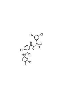 O=C(Nc1ccc(F)c(Cl)c1)c1cc(NC(=O)[C@@H]2[C@@H](c3cc(Cl)cc(Cl)c3)C2(Cl)Cl)ccc1Cl